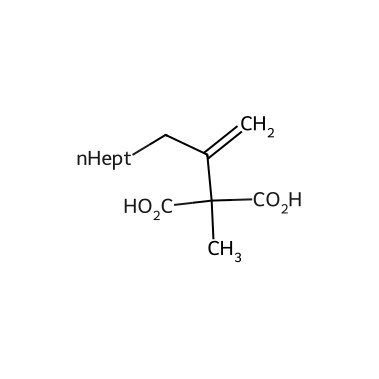 C=C(CCCCCCCC)C(C)(C(=O)O)C(=O)O